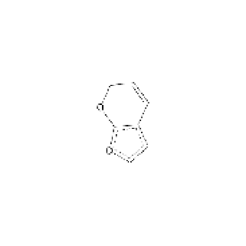 C1=Cc2ccoc2OC1